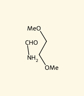 COCCOC.NC=O